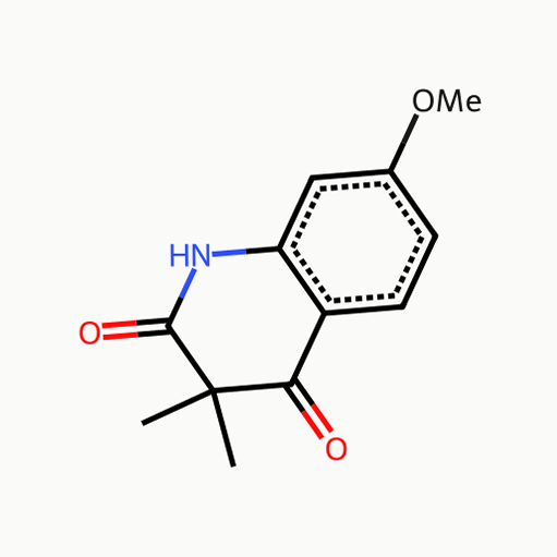 COc1ccc2c(c1)NC(=O)C(C)(C)C2=O